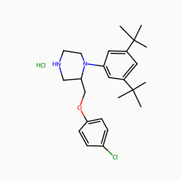 CC(C)(C)c1cc(N2CCNCC2COc2ccc(Cl)cc2)cc(C(C)(C)C)c1.Cl